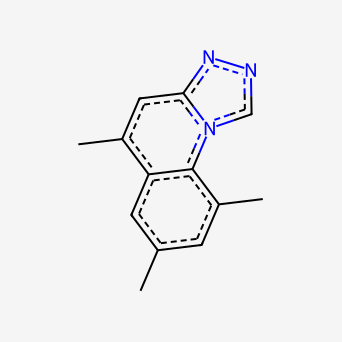 Cc1cc(C)c2c(c1)c(C)cc1nncn12